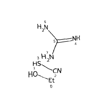 CCO.N#CS.N=C(N)N